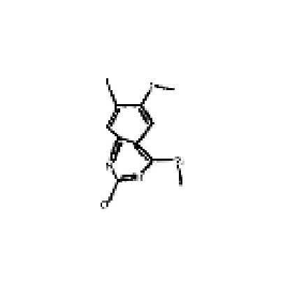 CNc1nc(Cl)nc2cc(I)c(OC)cc12